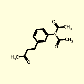 CC(=O)CCc1cccc(N(C(C)=O)C(C)=O)c1